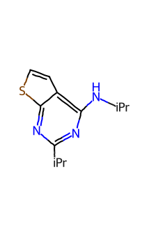 CC(C)Nc1nc(C(C)C)nc2sccc12